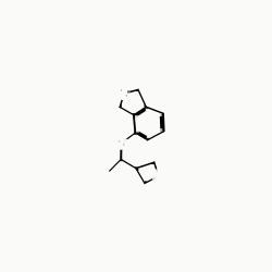 CC(Nc1cccc2c1CNC2)C1COC1